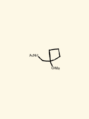 COC1(CNC(C)=O)CCC1